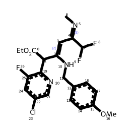 CCOC(=O)C(/C(=C/C(=N\C)C(F)F)NCc1ccc(OC)cc1)c1ncc(Cl)cc1F